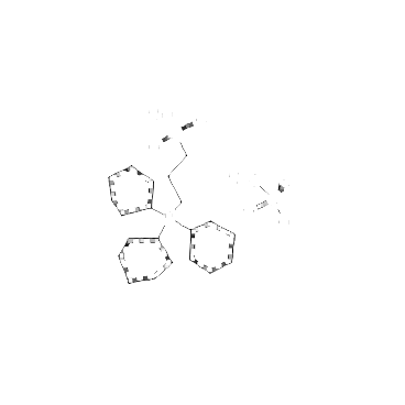 CS(=O)(=O)[O-].O=S(=O)(O)CCC[P+](c1ccccc1)(c1ccccc1)c1ccccc1